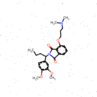 [CH2]CCC(c1ccc(OC)c(OC)c1)N1C(=O)c2cccc(OCCCN(C)C)c2C1=O